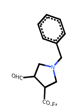 CCOC(=O)C1CN(Cc2ccccc2)CC1C=O